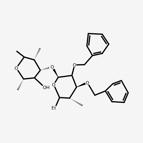 CCC1O[C@@H](O[C@@H]2C(O)[C@H](C)OC(C)[C@@H]2C)C(OCc2ccccc2)[C@@H](OCc2ccccc2)[C@@H]1C